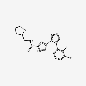 O=C(NCC1CCCO1)c1cc(-c2sncc2-c2cccc(F)c2F)c[nH]1